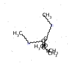 CCCCCCCC/C=C\CCCCCCCCOCC(COP(C)(=O)OCCN(CC)CC)OCCCCCCCC/C=C\CCCCCCCC